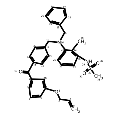 C=CCOc1cccc(C(=O)c2ccc(CN(Cc3ccccc3)c3cccc(NS(C)(=O)=O)c3C)cc2)c1